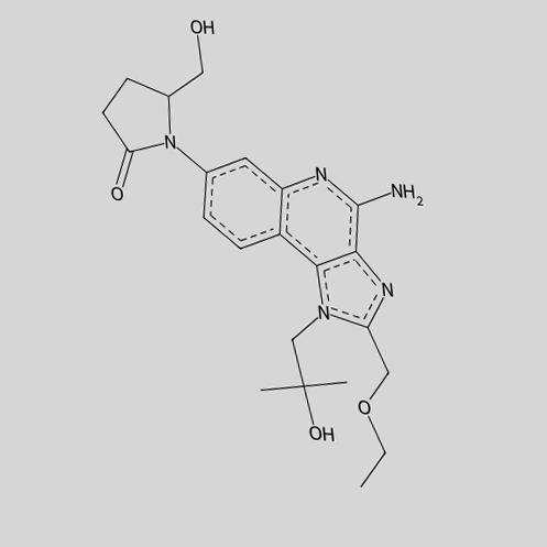 CCOCc1nc2c(N)nc3cc(N4C(=O)CCC4CO)ccc3c2n1CC(C)(C)O